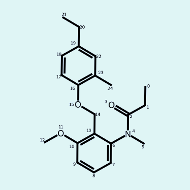 CCC(=O)N(C)c1cccc(OC)c1COc1ccc(CC)cc1C